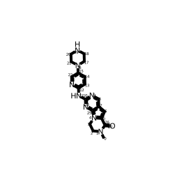 CN1CCn2c(cc3cnc(Nc4ccc(N5CCNCC5)cn4)nc32)C1=O